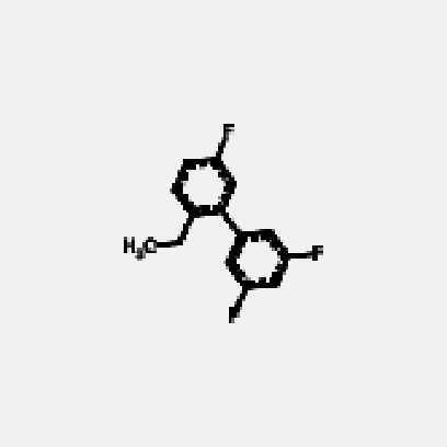 CCc1ccc(F)cc1-c1cc(F)cc(F)c1